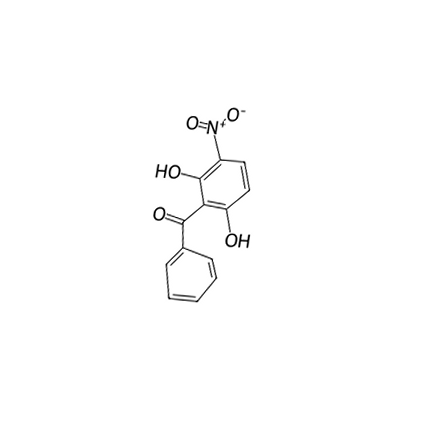 O=C(c1ccccc1)c1c(O)ccc([N+](=O)[O-])c1O